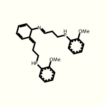 COc1ccccc1PCCC=NC1C=CC=CC1=CCCPc1ccccc1OC